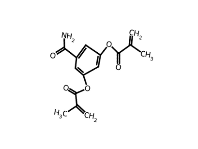 C=C(C)C(=O)Oc1cc(OC(=O)C(=C)C)cc(C(N)=O)c1